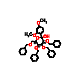 COc1ccc(C2(O)O[C@H](COCc3ccccc3)[C@@H](OCc3ccccc3)[C@H](OCc3ccccc3)[C@H]2OCc2ccccc2)c(OC)c1